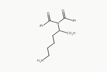 CC(C)C(=O)N(C(=O)C(C)C)C(CCCCN)C(=O)O